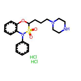 Cl.Cl.O=S1(=O)C(CCCN2CCNCC2)Oc2ccccc2N1c1ccccc1